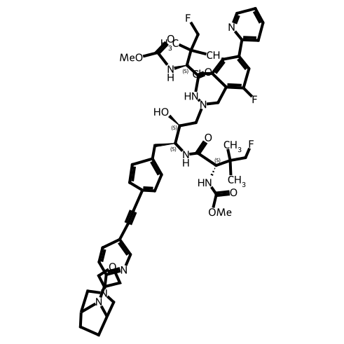 COC(=O)N[C@H](C(=O)N[C@@H](Cc1ccc(C#Cc2ccc(N3CC4CCC(C3)N4C3COC3)nc2)cc1)[C@@H](O)CN(Cc1c(F)cc(-c2ccccn2)cc1Cl)NC(=O)[C@@H](NC(=O)OC)C(C)(C)CF)C(C)(C)CF